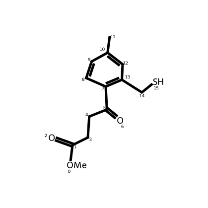 COC(=O)CCC(=O)c1ccc(C)cc1CS